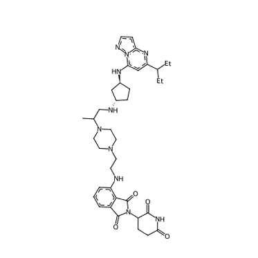 CCC(CC)c1cc(N[C@H]2CC[C@H](NCC(C)N3CCN(CCNc4cccc5c4C(=O)N(C4CCC(=O)NC4=O)C5=O)CC3)C2)n2nccc2n1